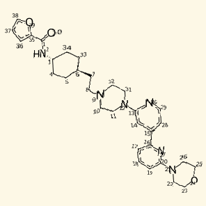 O=C(N[C@H]1CC[C@H](CCN2CCN(c3cc(-c4cccc(N5CCOCC5)n4)ccn3)CC2)CC1)c1ccco1